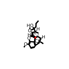 CCCC(C)(O)[C@H]1C[C@@]23C=C[C@]1(OC)[C@@H]1Oc4c(OC)ccc5c4C12CCN(C)[C@@H]3C5